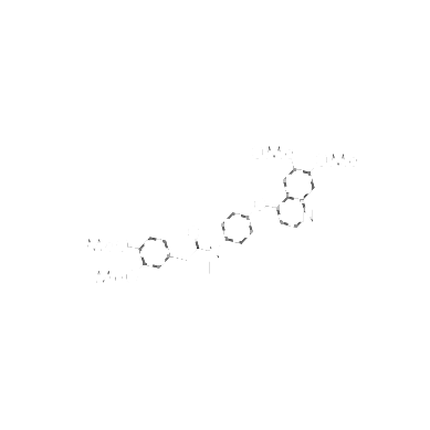 COc1ccc(CC(=O)Nc2ccc(Oc3ccnc4cc(OC)c(OC)cc34)cc2)cc1OC